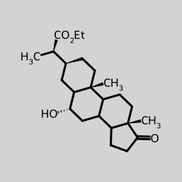 CCOC(=O)[C@H](C)[C@H]1CC[C@]2(C)C3CC[C@]4(C)C(=O)CCC4C3C[C@H](O)C2C1